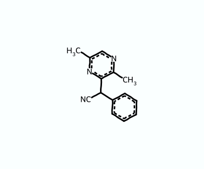 Cc1cnc(C)c(C(C#N)c2ccccc2)n1